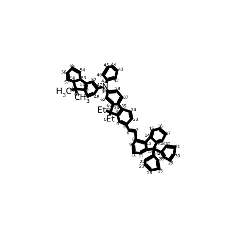 CCC1(CC)c2cc(/C=C/c3cccc4c3-c3ccccc3C4(c3ccccc3)c3ccccc3)ccc2-c2ccc(N(c3ccccc3)c3ccc4c(c3)C3C=CC=CC3C4(C)C)cc21